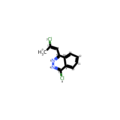 C/C(Cl)=C\c1nnc(Cl)c2ccccc12